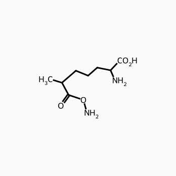 CC(CCCC(N)C(=O)O)C(=O)ON